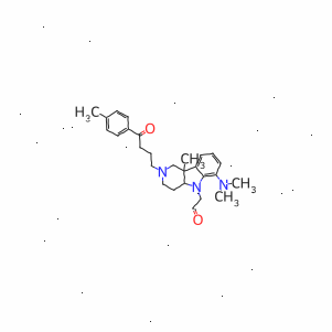 Cc1ccc(C(=O)CCCN2CCC3N(CC=O)c4c(N(C)C)cccc4C3(C)C2)cc1